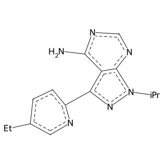 CCc1ccc(-c2nn(C(C)C)c3ncnc(N)c23)nc1